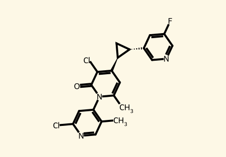 Cc1cnc(Cl)cc1-n1c(C)cc([C@H]2C[C@@H]2c2cncc(F)c2)c(Cl)c1=O